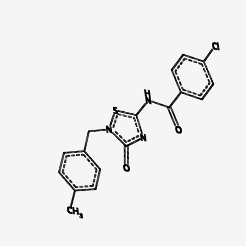 Cc1ccc(Cn2sc(NC(=O)c3ccc(Cl)cc3)nc2=O)cc1